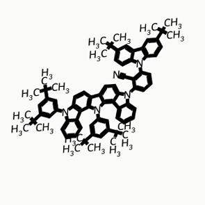 CC(C)(C)c1cc(-n2c3ccccc3c3c2ccc2c4ccc5c(c6ccccc6n5-c5cccc(-n6c7ccc(C(C)(C)C)cc7c7cc(C(C)(C)C)ccc76)c5C#N)c4n(-c4cc(C(C)(C)C)cc(C(C)(C)C)c4)c23)cc(C(C)(C)C)c1